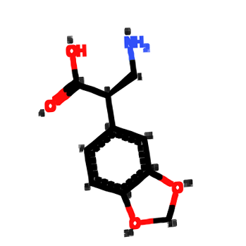 NC[C@H](C(=O)O)c1ccc2c(c1)OCO2